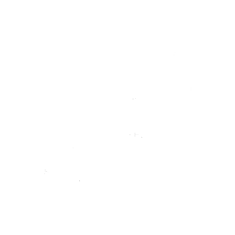 CCC(C)C(=O)OC/C=C(\C)CCC=C(C)C